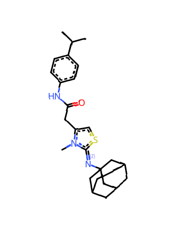 CC(C)c1ccc(NC(=O)Cc2cs/c(=N\C34CC5CC(CC(C5)C3)C4)n2C)cc1